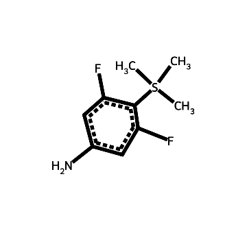 CS(C)(C)c1c(F)cc(N)cc1F